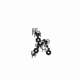 COC(=O)[C@H](CSCc1ccccc1)NC(=O)c1nc(-c2ccc(C(F)(F)F)cc2)oc1-c1ccc(-c2noc(C(F)(F)F)n2)cc1